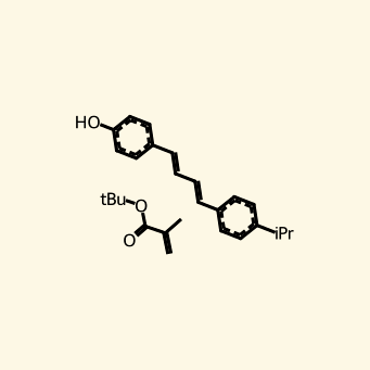 C=C(C)C(=O)OC(C)(C)C.CC(C)c1ccc(C=CC=Cc2ccc(O)cc2)cc1